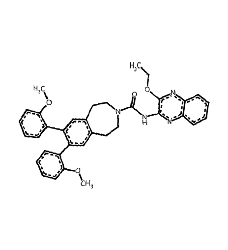 CCOc1nc2ccccc2nc1NC(=O)N1CCc2cc(-c3ccccc3OC)c(-c3ccccc3OC)cc2CC1